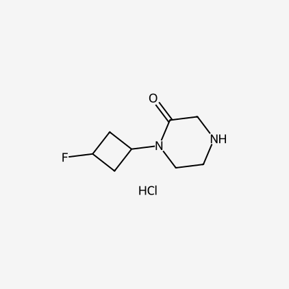 Cl.O=C1CNCCN1C1CC(F)C1